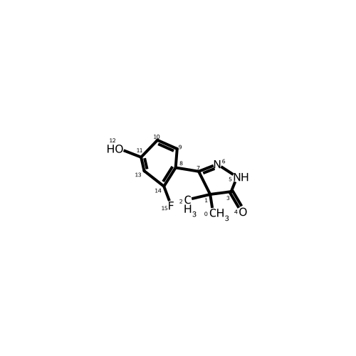 CC1(C)C(=O)NN=C1c1ccc(O)cc1F